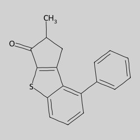 CC1Cc2c(sc3cccc(-c4ccccc4)c23)C1=O